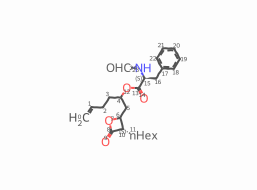 C=CCCC(CC1OC(=O)[C@H]1CCCCCC)OC(=O)[C@H](Cc1ccccc1)NC=O